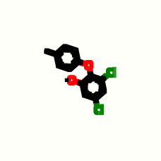 Cc1ccc(Oc2c([O])cc(Cl)cc2Cl)cc1